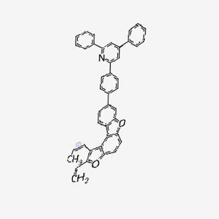 C=Cc1oc2ccc3oc4cc(-c5ccc(-c6cc(-c7ccccc7)cc(-c7ccccc7)n6)cc5)ccc4c3c2c1/C=C\C